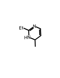 CCC1=NC=CC(C)N1